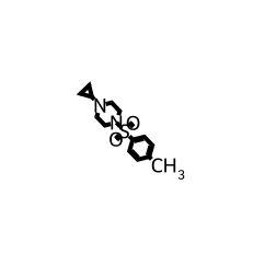 Cc1ccc(S(=O)(=O)N2CCN(C3CC3)CC2)cc1